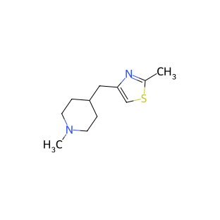 Cc1nc(CC2CCN(C)CC2)cs1